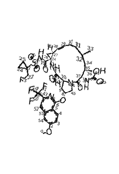 COc1ccc2c(O[C@@H]3C[C@H]4C(=O)N[C@]5(C(=O)NS(=O)(=O)C6(CF)CC6)C[C@H]5C=CCC[C@@H](C)C[C@@H](C)[C@H](NC(=O)O)C(=O)N4C3)nc(C(F)(F)F)cc2c1